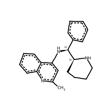 Cc1cc(N[C@@H](c2ccccc2)[C@@H]2CCCCN2)c2ccccc2n1